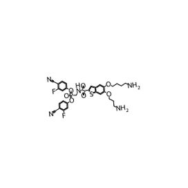 N#Cc1ccc(OP(=O)(CNS(=O)(=O)c2cc3cc(OCCCCN)c(OCCCN)cc3s2)Oc2ccc(C#N)c(F)c2)cc1F